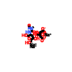 CN(N=O)C(=O)N[C@@H]1[C@@H](O)[C@H](O)[C@@H](CO)O[C@@H]1O.O=C([O-])CC(O)(CC(=O)[O-])C(=O)[O-].[Na+].[Na+].[Na+]